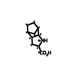 O=C(O)C1CC2C3CCC(C3)C2N1